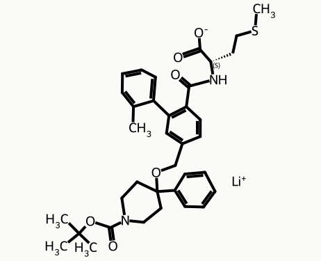 CSCC[C@H](NC(=O)c1ccc(COC2(c3ccccc3)CCN(C(=O)OC(C)(C)C)CC2)cc1-c1ccccc1C)C(=O)[O-].[Li+]